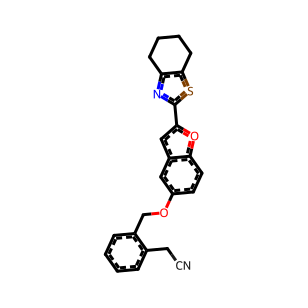 N#CCc1ccccc1COc1ccc2oc(-c3nc4c(s3)CCCC4)cc2c1